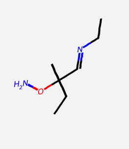 CCN=CC(C)(CC)ON